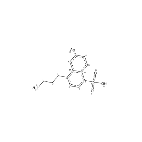 CCCCc1ccc(S(=O)(=O)O)c2ccccc12.[Ag]